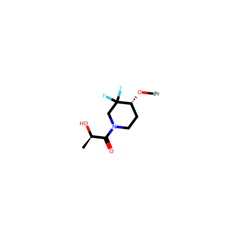 CC(C)O[C@@H]1CCN(C(=O)[C@@H](C)O)CC1(F)F